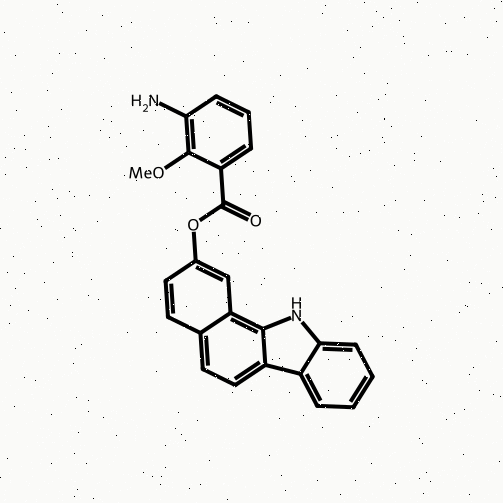 COc1c(N)cccc1C(=O)Oc1ccc2ccc3c4ccccc4[nH]c3c2c1